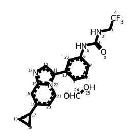 O=C(NCC(F)(F)F)Nc1cccc(-c2cnc3cc(C4CC4)ccn23)c1.O=CO